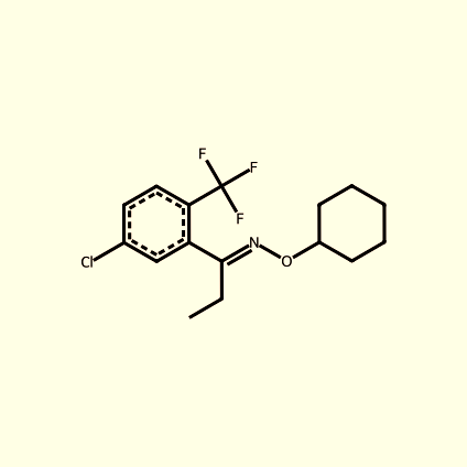 CC/C(=N\OC1CCCCC1)c1cc(Cl)ccc1C(F)(F)F